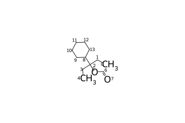 CCC(CC)(OC=O)C1CCCCC1